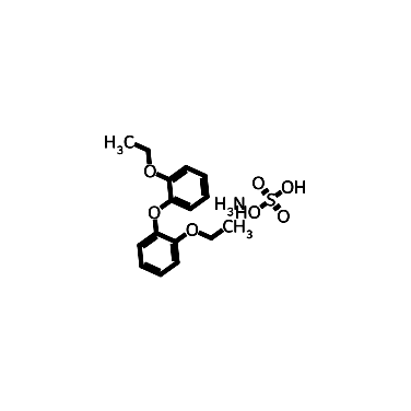 CCOc1ccccc1Oc1ccccc1OCC.N.O=S(=O)(O)O